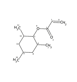 C=CC(=O)OC1C(C)CC(C)CC1C